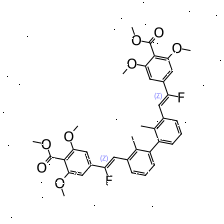 COC(=O)c1c(OC)cc(/C(F)=C/c2cccc(-c3cccc(/C=C(\F)c4cc(OC)c(C(=O)OC)c(OC)c4)c3C)c2C)cc1OC